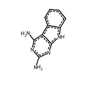 Nc1nc(N)c2c(n1)[nH]c1ccccc12